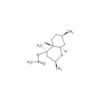 CC(=O)O[C@]1(C)C[C@H](C)O[C@@H]2C[C@H](C)CC[C@H]21